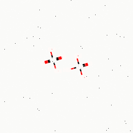 O=[As](O)(O)O.[Cu].[O]=[Cr](=[O])([OH])[OH]